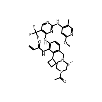 C=CC(=O)Nc1c(Nc2nc(Nc3cc(OC)ncc3C)ncc2C(F)(F)F)ccc(CN2CCN(C(C)=O)C[C@H]2C)c1C1CCC1